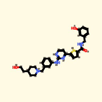 O=C(NCc1cccc(O)c1)c1ccc(-c2ccnc(Nc3cccc(CN4CCC(CCO)CC4)c3)n2)s1